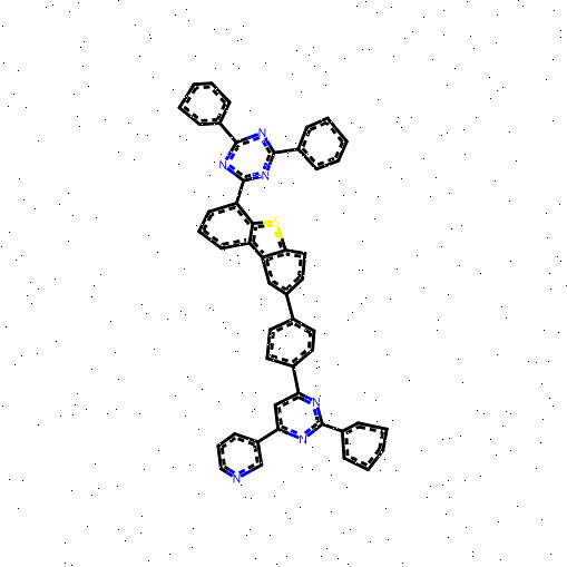 c1ccc(-c2nc(-c3ccc(-c4ccc5sc6c(-c7nc(-c8ccccc8)nc(-c8ccccc8)n7)cccc6c5c4)cc3)cc(-c3cccnc3)n2)cc1